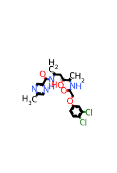 C=C(C[C@H](O)C(=C)NC(=O)COc1ccc(Cl)c(Cl)c1)NC(=O)c1cnc(C)cn1